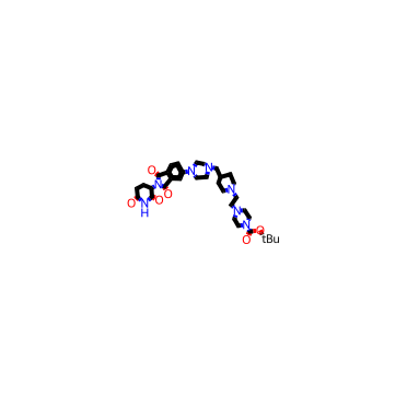 CC(C)(C)OC(=O)N1CCN(CCN2CCC(CN3CCN(c4ccc5c(c4)C(=O)N(C4CCC(=O)NC4=O)C5=O)CC3)CC2)CC1